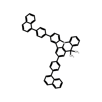 CC1(C)c2ccccc2-n2c3ccc(-c4ccc(-c5cccc6ccccc56)cc4)cc3c3cc(-c4ccc(-c5cccc6ccccc56)cc4)cc1c32